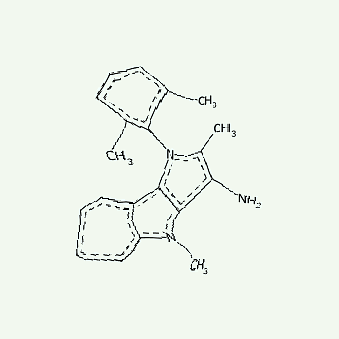 Cc1cccc(C)c1-n1c(C)c(N)c2c1c1ccccc1n2C